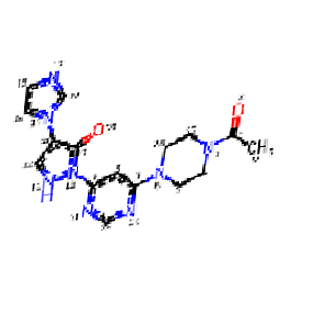 CC(=O)N1CCN(c2cc(-n3[nH]cc(-n4ccnc4)c3=O)ncn2)CC1